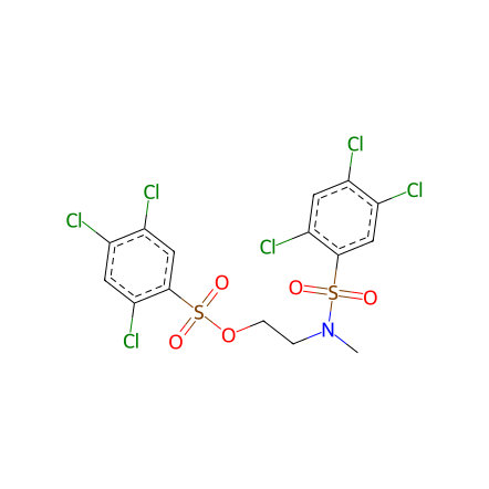 CN(CCOS(=O)(=O)c1cc(Cl)c(Cl)cc1Cl)S(=O)(=O)c1cc(Cl)c(Cl)cc1Cl